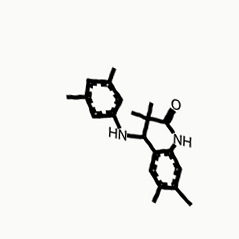 Cc1cc(C)cc(NC2c3cc(C)c(C)cc3NC(=O)C2(C)C)c1